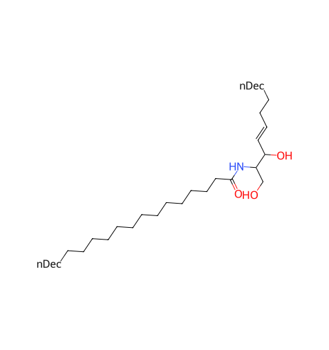 CCCCCCCCCCCC/C=C/C(O)C(CO)NC(=O)CCCCCCCCCCCCCCCCCCCCCCC